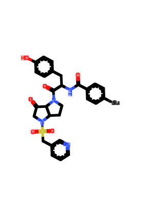 CC(C)(C)c1ccc(C(=O)NC(Cc2ccc(O)cc2)C(=O)N2CCC3C2C(=O)CN3S(=O)(=O)Cc2cccnc2)cc1